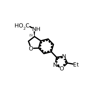 CCc1nc(-c2ccc3c(c2)OC[C@H]3NC(=O)O)no1